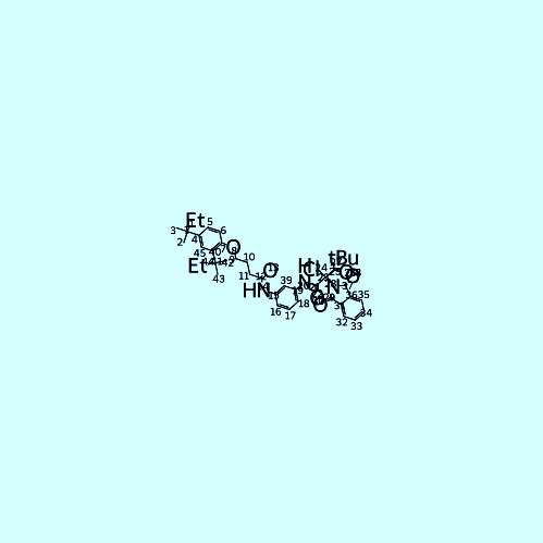 CCC(C)(C)c1ccc(OCCCC(=O)Nc2cccc(NC(=O)C(Cl)(C(=O)C(C)(C)C)N3C(=O)c4ccccc4C3=O)c2)c(C(C)(C)CC)c1